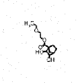 CCOCCOC(=O)C12CCC(C1)C(O)C2O